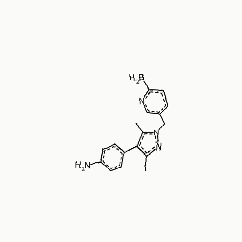 Bc1ccc(Cn2nc(C)c(-c3ccc(N)cc3)c2C)cn1